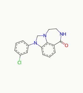 O=C1NCCN2CN(c3cccc(Cl)c3)c3cccc1c32